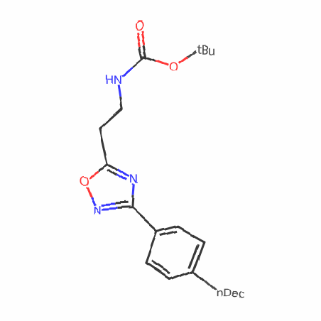 CCCCCCCCCCc1ccc(-c2noc(CCNC(=O)OC(C)(C)C)n2)cc1